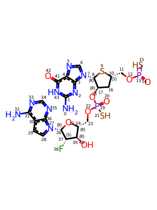 Nc1nc2c(ncn2[C@@H]2S[C@H](CO[PH](=O)S)C[C@H]2OP(=O)(S)OC[C@H]2O[C@@H](n3ccc4c(N)ncnc43)[C@@H](F)[C@@H]2O)c(=O)[nH]1